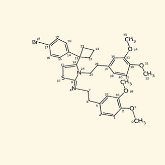 COc1ccc(CCN=c2scc(C3(c4ccc(Br)cc4)CCC3)n2CCc2ccc(OC)c(OC)c2)cc1OC